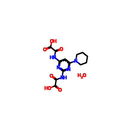 O.O=C(O)C(=O)Nc1cc(N2CCCCC2)nc(NC(=O)C(=O)O)n1